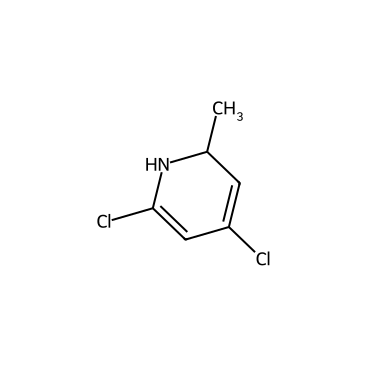 CC1C=C(Cl)C=C(Cl)N1